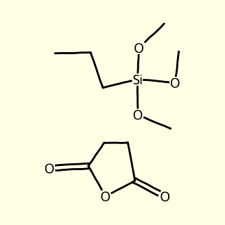 CCC[Si](OC)(OC)OC.O=C1CCC(=O)O1